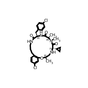 C[C@@H]1CN[C@@H](C2CC2)C(=O)N(C)[C@H](C)C(=O)N[C@H](Cc2ccc(Cl)cc2)C(=O)NCCCc2ccc(Cl)cc2O1